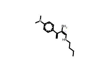 B/C(=C/NCCCC)C(=C)c1ccc(N(C)C)cc1